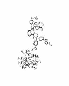 COc1ccc(C2(c3ccc(OCCOC(C)(C)CC[Si](OC(C)(C)C)(OC(C)(C)C)OC(C)(C)C)cc3)C=Cc3c4c(c5ccccc5c3O2)-c2ccc(C)cc2C4(C)C)cc1